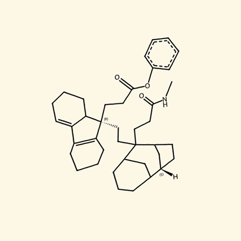 CNC(=O)CCC1(CC[C@]2(CCC(=O)Oc3ccccc3)C3=C(CCCC3)C3=CCCCC32)C2CCCC(C2)[C@H]2CCC1C2